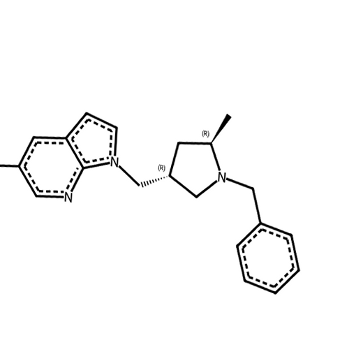 C[C@@H]1C[C@@H](Cn2ccc3cc(Br)cnc32)CN1Cc1ccccc1